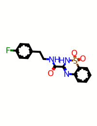 O=C(NCCc1ccc(F)cc1)C1=Nc2ccccc2S(=O)(=O)N1